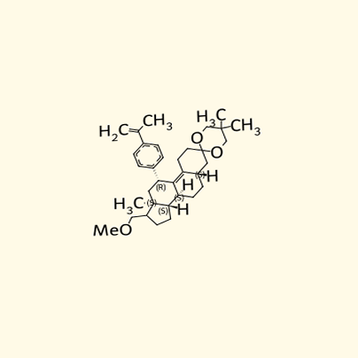 C=C(C)c1ccc([C@H]2C[C@]3(C)C(COC)CC[C@H]3[C@@H]3CC[C@H]4CC5(CCC4=C32)OCC(C)(C)CO5)cc1